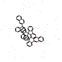 c1cc(-c2ccc(-c3ccc4ccccc4c3)c3ccccc23)cc(N(c2ccccc2-c2ccc3ccccc3c2)c2cccc3c2C2(c4ccccc4-c4ccccc42)c2ccccc2-3)c1